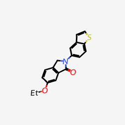 CCOc1ccc2c(c1)C(=O)N(c1ccc3sccc3c1)C2